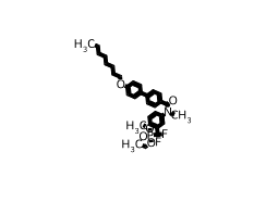 CCCCCCCCOc1ccc(-c2ccc(C(=O)N(C)c3cccc(C(F)(F)P(=O)(OC)OCC)c3)cc2)cc1